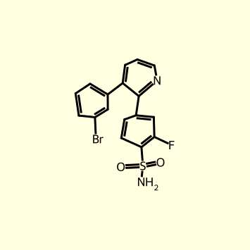 NS(=O)(=O)c1ccc(-c2ncccc2-c2cccc(Br)c2)cc1F